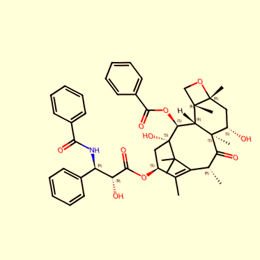 CC1=C2[C@@H](C)C(=O)[C@]3(C)[C@@H](O)C[C@@]4(C)OC[C@@]4(C)[C@H]3[C@H](OC(=O)c3ccccc3)[C@](O)(C[C@@H]1OC(=O)[C@H](O)[C@H](NC(=O)c1ccccc1)c1ccccc1)C2(C)C